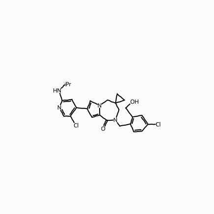 CC(C)Nc1cc(-c2cc3n(c2)CC2(CC2)CN(Cc2ccc(Cl)cc2CO)C3=O)c(Cl)cn1